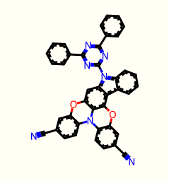 N#Cc1ccc2c(c1)Oc1cc3c(c4c1N2c1ccc(C#N)cc1O4)c1ccccc1n3-c1nc(-c2ccccc2)nc(-c2ccccc2)n1